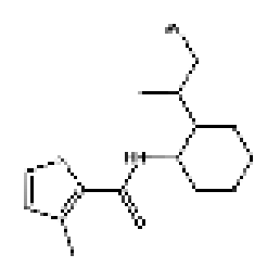 Cc1ccsc1C(=O)NC1CCCCC1C(C)CC(C)C